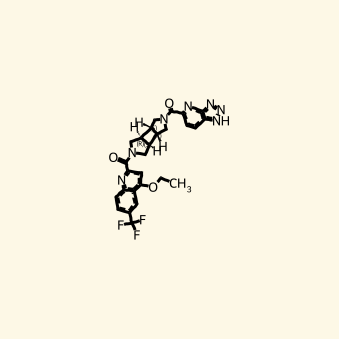 CCOc1cc(C(=O)N2C[C@@H]3[C@H](C2)[C@H]2CN(C(=O)c4ccc5[nH]nnc5n4)C[C@@H]32)nc2ccc(C(F)(F)F)cc12